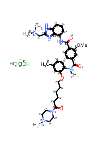 COc1cc(C(=O)N(C)c2ccc(C)cc2OCCCCCC(=O)N2CCN(C)CC2)ccc1C(=O)Nc1cccc2[nH]c(CN(C)C)nc12.Cl.Cl.Cl